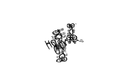 CCCN(CCN1C[C@H](c2ccc3c(c2)OCO3)[C@H](C(=O)O)[C@H]1c1ccc(OC)cc1)S(=O)(=O)c1ccc([N+](=O)[O-])cc1